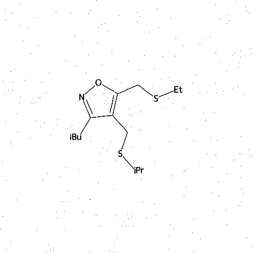 CCSCc1onc(C(C)CC)c1CSC(C)C